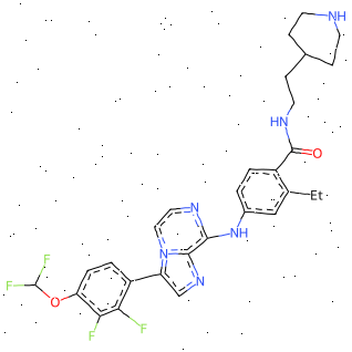 CCc1cc(Nc2nccn3c(-c4ccc(OC(F)F)c(F)c4F)cnc23)ccc1C(=O)NCCC1CCNCC1